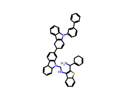 NC(C1=CC=CCC1)C1=C(NCN2c3cc(C4C=Cc5c(c6ccccc6n5-c5cccc(-c6ccccc6)c5)C4)ccc3C3C=CC=CC32)C2C=CC=CC2S1